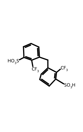 O=S(=O)(O)c1cccc(Cc2cccc(S(=O)(=O)O)c2C(F)(F)F)c1C(F)(F)F